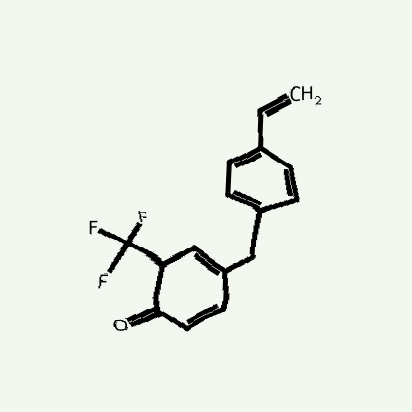 C=Cc1ccc(CC2=CC(C(F)(F)F)C(=O)C=C2)cc1